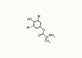 C[C@H](N)C(=O)Oc1cc(Br)c(O)c(Br)c1